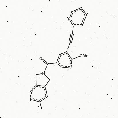 COc1ccc(C(=O)N2Cc3cnc(C)cc3C2)cc1C#Cc1ccccn1